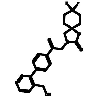 O=C(CN1CC2(CCC(F)(F)CC2)OC1=O)c1ccc(-c2cnccc2CO)cc1